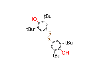 CC(C)(C)c1cc(SSc2cc(C(C)(C)C)c(O)c(C(C)(C)C)c2)cc(C(C)(C)C)c1O